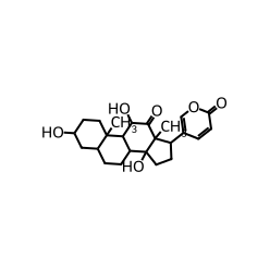 CC12CCC(O)CC1CCC1C2C(O)C(=O)C2(C)C(c3ccc(=O)oc3)CCC12O